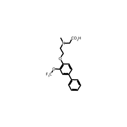 CN(CCOc1ccc(-c2ccccc2)cc1OC(F)(F)F)CC(=O)O